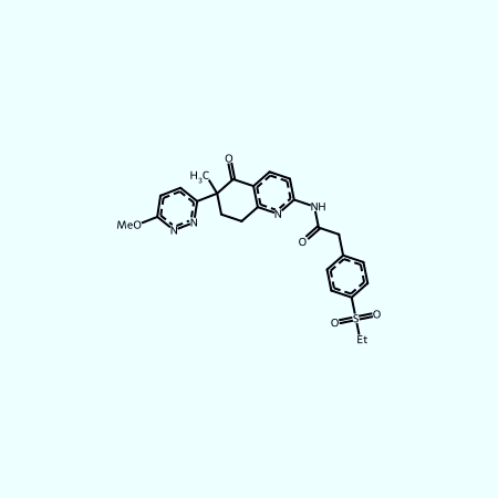 CCS(=O)(=O)c1ccc(CC(=O)Nc2ccc3c(n2)CCC(C)(c2ccc(OC)nn2)C3=O)cc1